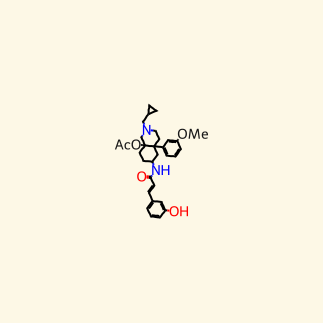 COc1cccc(C23CCN(CC4CC4)CC2(OC(C)=O)CCC(NC(=O)/C=C/c2cccc(O)c2)C3)c1